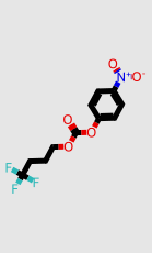 O=C(OCCCC(F)(F)F)Oc1ccc([N+](=O)[O-])cc1